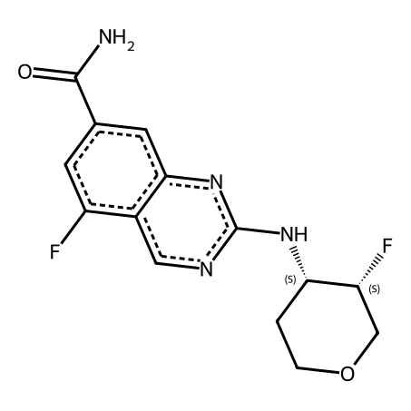 NC(=O)c1cc(F)c2cnc(N[C@H]3CCOC[C@H]3F)nc2c1